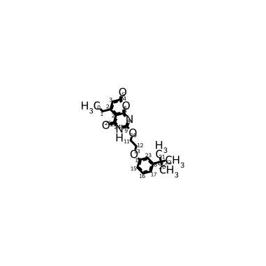 CCc1cc(=O)oc2nc(OCCOc3cccc(C(C)(C)C)c3)[nH]c(=O)c12